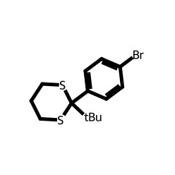 CC(C)(C)C1(c2ccc(Br)cc2)SCCCS1